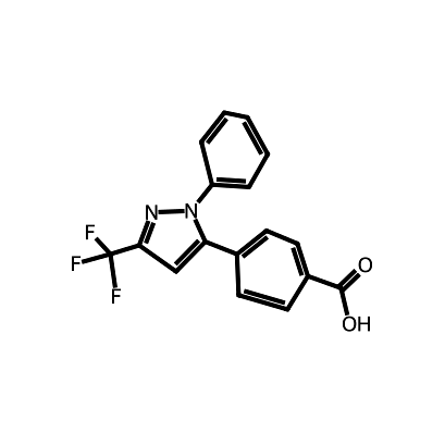 O=C(O)c1ccc(-c2cc(C(F)(F)F)nn2-c2ccccc2)cc1